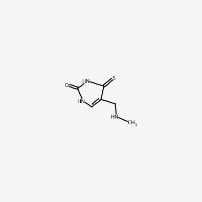 CNCc1c[nH]c(=O)[nH]c1=S